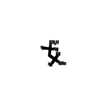 [2H]C([2H])(CC([2H])([2H])C(=O)O)OC(C)=O